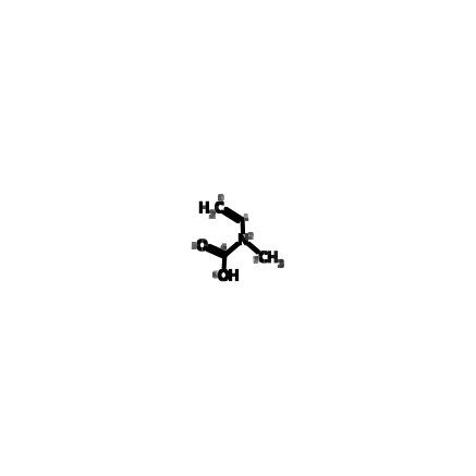 C=CN(C)C(=O)O